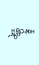 C=CCNC(=O)C1COc2ccc(/C(C)=N/O)cc2O1